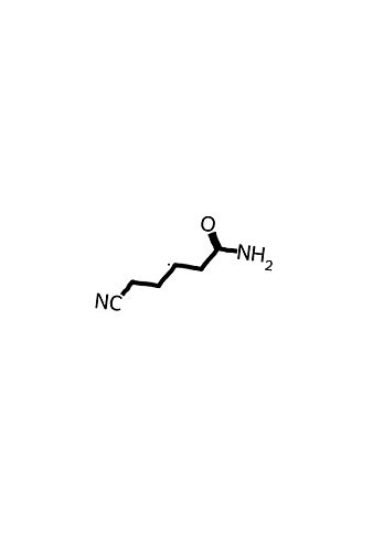 N#CCC[CH]CC(N)=O